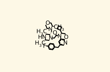 C[C@@H]1CN(CC(=O)N2c3cc(Cc4ccc(F)cc4)cnc3OCC2C2CCC2)[C@@H](CN2[C@H](C)COC[C@H]2C)CN1